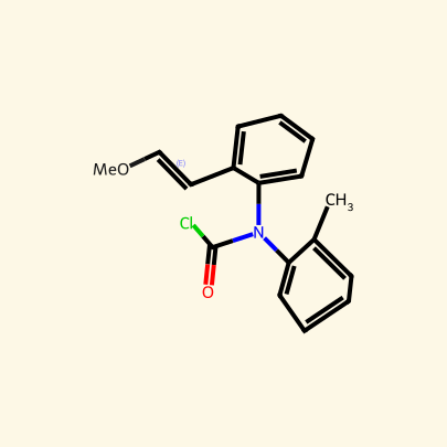 CO/C=C/c1ccccc1N(C(=O)Cl)c1ccccc1C